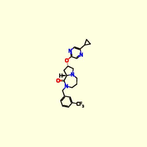 O=C1[C@@H]2C[C@H](Oc3cnc(C4CC4)cn3)CN2CCCN1Cc1cccc(C(F)(F)F)c1